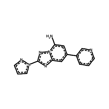 Nc1cc(-c2cccnc2)cc2nc(-n3cccn3)nn12